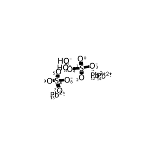 O=S(=O)([O-])[O-].O=S(=O)([O-])[O-].[OH-].[OH-].[Pb+2].[Pb+2].[Pb+2]